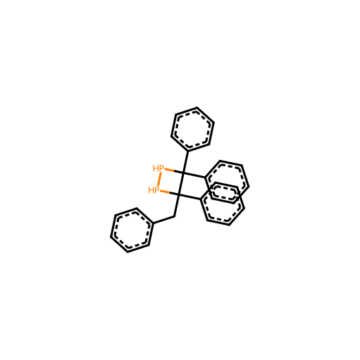 c1ccc(CC2(c3ccccc3)PPC2(c2ccccc2)c2ccccc2)cc1